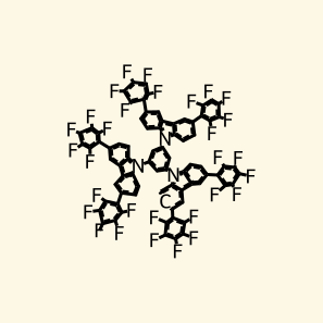 Fc1c(F)c(F)c(-c2ccc3c(c2)c2cc(-c4c(F)c(F)c(F)c(F)c4F)ccc2n3-c2cc(-n3c4ccc(-c5c(F)c(F)c(F)c(F)c5F)cc4c4cc(-c5c(F)c(F)c(F)c(F)c5F)ccc43)cc(-n3c4ccc(-c5c(F)c(F)c(F)c(F)c5F)cc4c4cc(-c5c(F)c(F)c(F)c(F)c5F)ccc43)c2)c(F)c1F